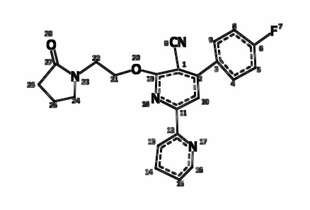 N#Cc1c(-c2ccc(F)cc2)cc(-c2ccccn2)nc1OCCN1CCCC1=O